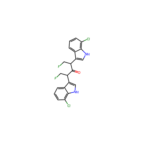 O=C(C(CF)c1c[nH]c2c(Cl)cccc12)C(CF)c1c[nH]c2c(Cl)cccc12